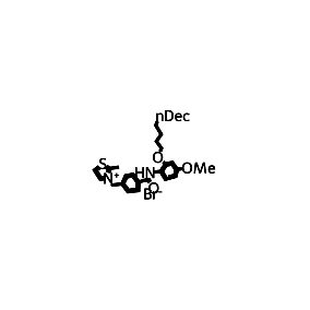 CCCCCCCCCCCCCCOc1cc(OC)ccc1NC(=O)c1ccc(C[n+]2ccsc2C)cc1.[Br-]